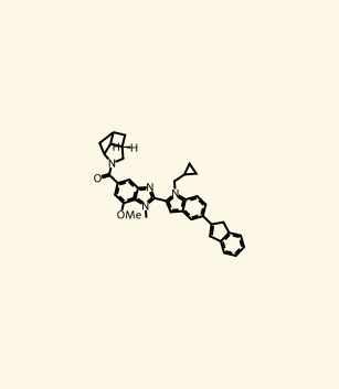 COc1cc(C(=O)N2C[C@H]3CC4CC2[C@@H]43)cc2nc(-c3cc4cc(C5=Cc6ccccc6C5)ccc4n3CC3CC3)n(C)c12